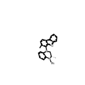 Cc1ccc2c(oc3ccccc32)c1N1C[C@H](C)N(C(C)C)c2ccccc21